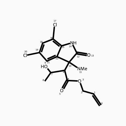 C=CCOC(=O)C(C(C)O)C1(NC)C(=O)Nc2c(Cl)cc(Cl)cc21